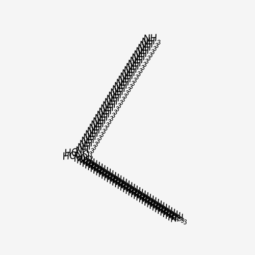 N.N.N.N.N.N.N.N.N.N.N.N.N.N.N.N.N.N.N.N.N.N.N.N.N.N.N.N.N.N.N.N.N.N.N.N.N.N.N.N.N.N.N.N.N.N.N.N.N.N.N.N.N.N.N.N.N.N.N.N.N.N.N.N.N.N.N.N.N.N.N.N.O=[N+]([O-])O.O=[N+]([O-])O